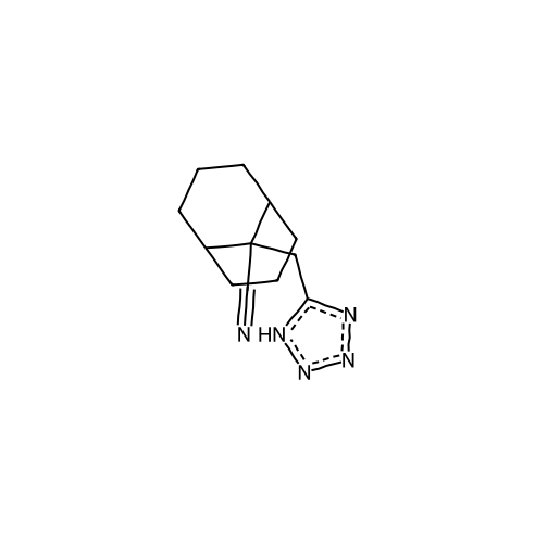 N#CC1(Cc2nnn[nH]2)C2CCCC1CCC2